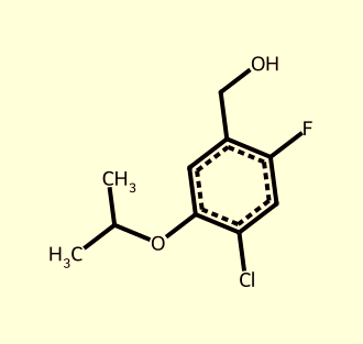 CC(C)Oc1cc(CO)c(F)cc1Cl